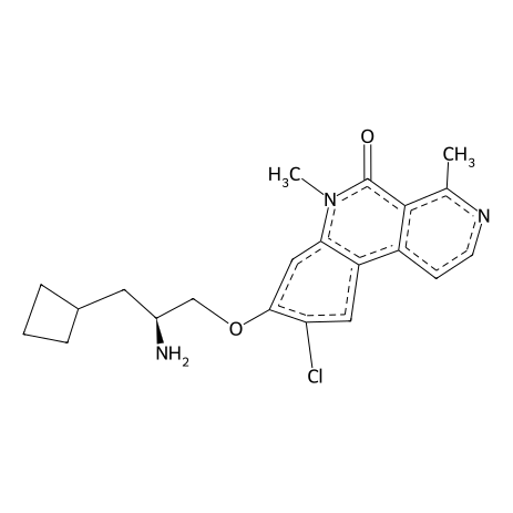 Cc1nccc2c1c(=O)n(C)c1cc(OC[C@@H](N)CC3CCC3)c(Cl)cc21